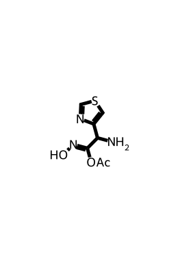 CC(=O)OC(=NO)C(N)c1cscn1